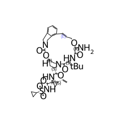 C=C[C@@H]1C[C@]1(NC(=O)[C@@H]1C[C@@H]2CN1C(=O)[C@H](C(C)(C)C)NC(=O)[C@H](N)OC/C=C/c1cccc3c1CN(C3)C(=O)O2)C(=O)NS(=O)(=O)C1CC1